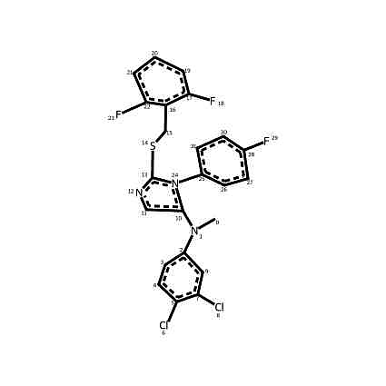 CN(c1ccc(Cl)c(Cl)c1)c1cnc(SCc2c(F)cccc2F)n1-c1ccc(F)cc1